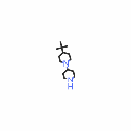 CC(C)(C)C1CCN(C2CCNCC2)CC1